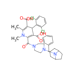 CC1=C(C(=O)O)C(c2c(Cl)cccc2Cl)C(C(=O)O)=C(C(=O)N2CCN(C3CC4CCC(C3)N4Cc3ccccc3)CC2)N1C